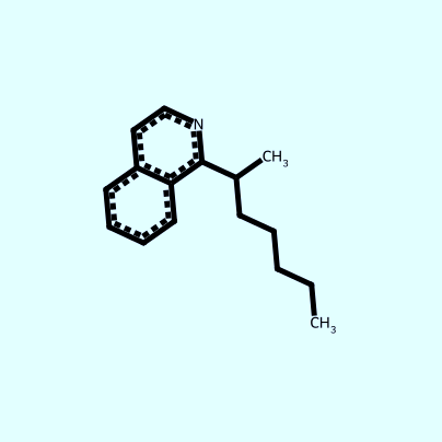 CCCCCC(C)c1nccc2ccccc12